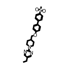 CCc1cnc(N2CCC(COc3ccc(-c4ccc(S(C)(=O)=O)cc4)cc3)CC2)nc1